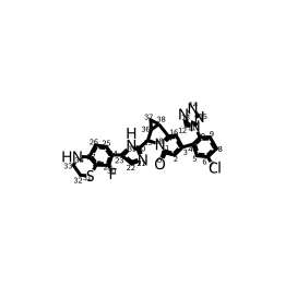 O=c1cc(-c2cc(Cl)ccc2-n2cnnn2)cc2n1C(c1ncc(-c3ccc4c(c3F)SCCN4)[nH]1)C1CC21